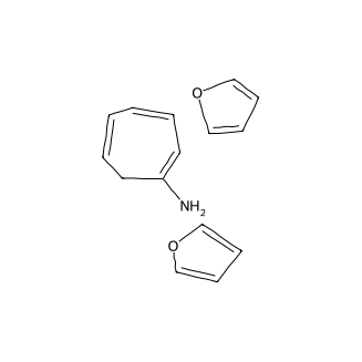 NC1=CC=CC=CC1.c1ccoc1.c1ccoc1